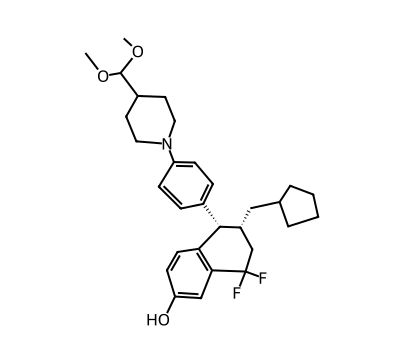 COC(OC)C1CCN(c2ccc([C@H]3c4ccc(O)cc4C(F)(F)C[C@H]3CC3CCCC3)cc2)CC1